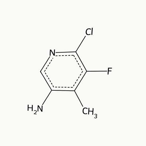 Cc1c(N)cnc(Cl)c1F